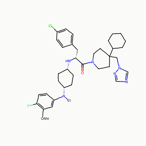 CCN(c1ccc(F)c(OC)c1)[C@H]1CC[C@@H](N[C@H](Cc2ccc(Cl)cc2)C(=O)N2CCC(Cn3cncn3)(C3CCCCC3)CC2)CC1